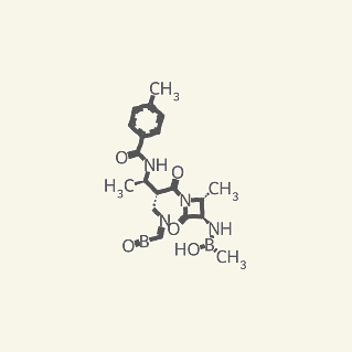 CB(O)N[C@H]1C(=O)N(C(=O)[C@H](C/N=C\B=O)[C@@H](C)NC(=O)c2ccc(C)cc2)[C@@H]1C